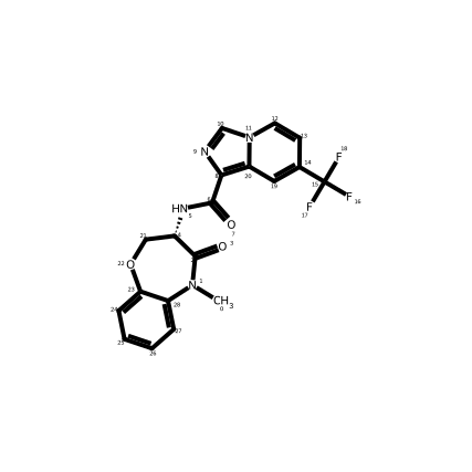 CN1C(=O)[C@@H](NC(=O)c2ncn3ccc(C(F)(F)F)cc23)COc2ccccc21